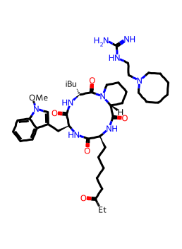 CCC(=O)CCCCC[C@@H]1NC(=O)[C@H]2CCCCN2C(=O)[C@H]([C@@H](C)CC)NC(=O)[C@H](Cc2cn(OC)c3ccccc23)NC1=O.N=C(N)NCCN1CCCCCCC1